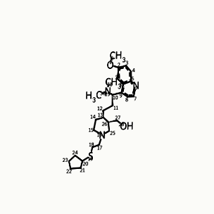 COc1ccc2nccc([C@@H](CC[C@@H]3CCN(CCSC4CCCC4)C[C@@H]3CO)N(C)C)c2c1